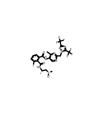 Cc1nc(Cn2nc(C(F)(F)F)nc2C(F)(F)F)ncc1NC(=O)c1cccc(I)c1C(=O)N[C@@H](C)C[S+](C)[O-]